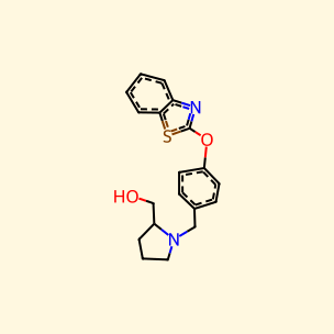 OCC1CCCN1Cc1ccc(Oc2nc3ccccc3s2)cc1